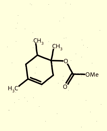 COC(=O)OC1(C)CC=C(C)CC1C